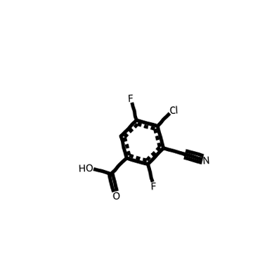 N#Cc1c(F)c(C(=O)O)cc(F)c1Cl